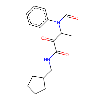 CC(C(=O)C(=O)NCC1CCCC1)N(C=O)c1ccccc1